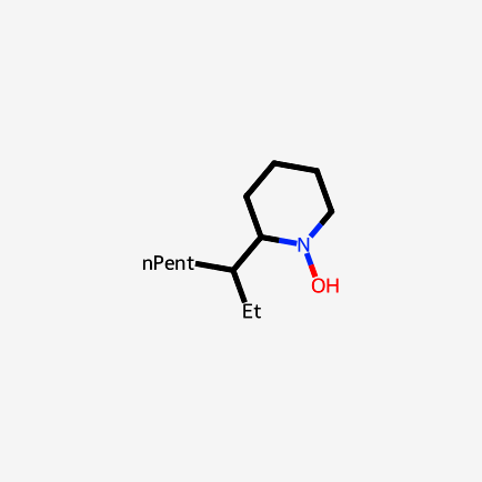 CCCCCC(CC)C1CCCCN1O